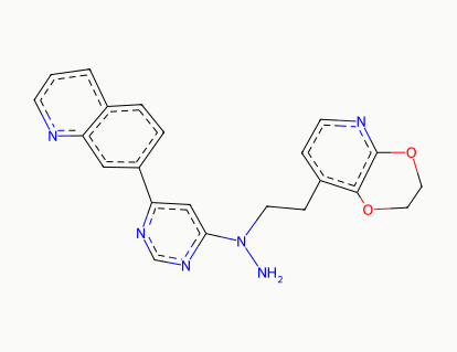 NN(CCc1ccnc2c1OCCO2)c1cc(-c2ccc3cccnc3c2)ncn1